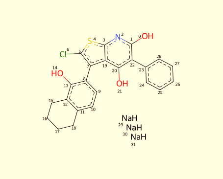 Oc1nc2sc(Cl)c(-c3ccc4c(c3O)CCCC4)c2c(O)c1-c1ccccc1.[NaH].[NaH].[NaH]